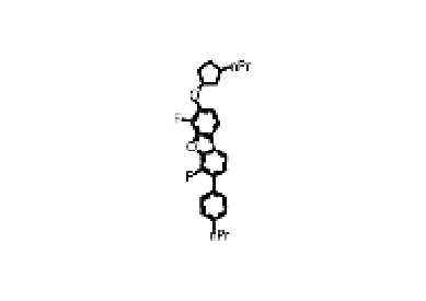 CCCc1ccc(-c2ccc3c(oc4c(F)c(OC5CCC(CCC)C5)ccc43)c2F)cc1